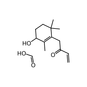 C=CC(=O)CC1=C(C)C(O)CCC1(C)C.O=CO